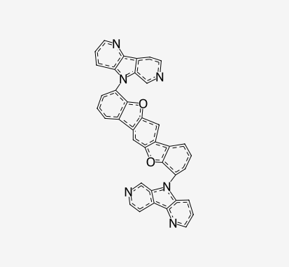 c1cc(-n2c3cnccc3c3ncccc32)c2oc3cc4c(cc3c2c1)oc1c(-n2c3cnccc3c3ncccc32)cccc14